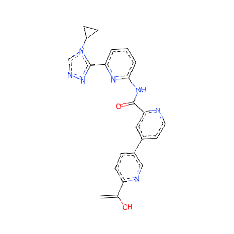 C=C(O)c1ccc(-c2ccnc(C(=O)Nc3cccc(-c4nncn4C4CC4)n3)c2)cn1